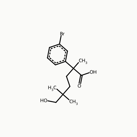 CC(C)(CO)CCC(C)(C(=O)O)c1cccc(Br)c1